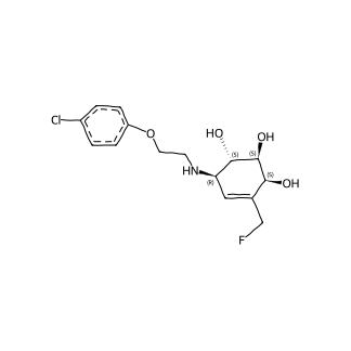 O[C@@H]1[C@@H](O)[C@@H](O)C(CF)=C[C@H]1NCCOc1ccc(Cl)cc1